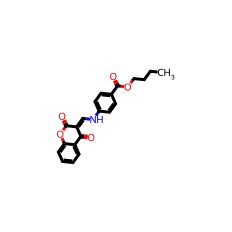 CCCCOC(=O)c1ccc(NC=C2C(=O)Oc3ccccc3C2=O)cc1